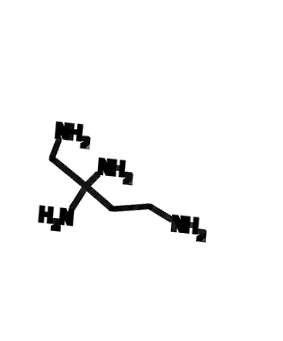 NCCC(N)(N)CN